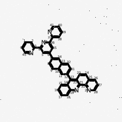 c1ccc(-c2cc(-c3ccc4cc(-c5c6ccccc6nc6c5ccc5cccnc56)ccc4c3)cc(-c3ccccn3)n2)nc1